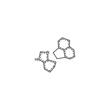 c1cc2c3c(cccc3c1)CC2.c1ccc2[nH]cnc2c1